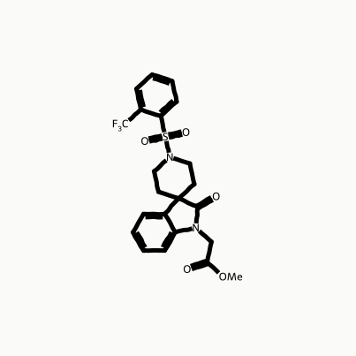 COC(=O)CN1C(=O)C2(CCN(S(=O)(=O)c3ccccc3C(F)(F)F)CC2)c2ccccc21